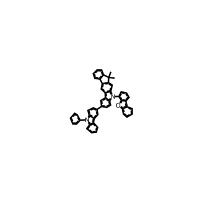 CC1(C)c2ccccc2-c2cc3c4cc(-c5ccc6c(c5)c5ccccc5n6-c5ccccc5)ccc4n(-c4cccc5c4oc4ccccc45)c3cc21